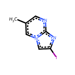 Cc1cnc2nc(I)cn2c1